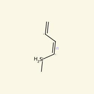 C=[C]/C=[C]\[SiH2]C